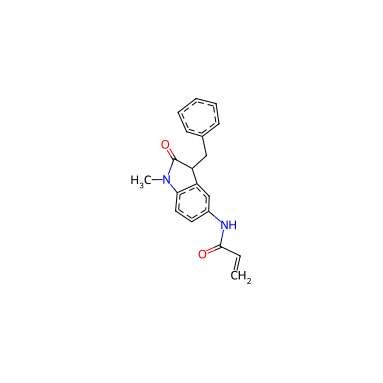 C=CC(=O)Nc1ccc2c(c1)C(Cc1ccccc1)C(=O)N2C